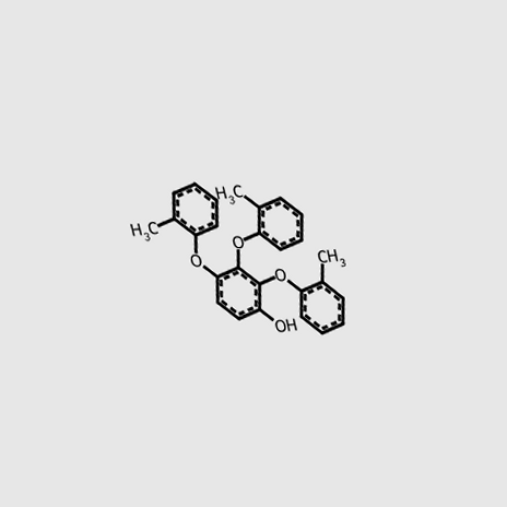 Cc1ccccc1Oc1ccc(O)c(Oc2ccccc2C)c1Oc1ccccc1C